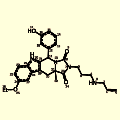 C=CCNCCCN1C(=O)N2C(c3cccc(O)c3)c3[nH]c4ccc(OCC)cc4c3CC2(C)C1=O